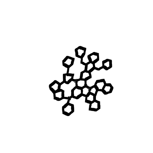 c1ccc(Cc2c3ccccc3c(Cc3ccccc3)c3cc4c(cc23)B2c3c(cc(N(c5ccccc5)c5ccccc5)cc3N4c3cc(-c4ccccc4)cc(-c4ccccc4)c3)-c3cc4ccccc4c4c5c6ccccc6ccc5n2c34)cc1